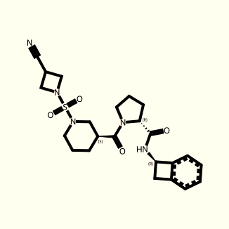 N#CC1CN(S(=O)(=O)N2CCC[C@H](C(=O)N3CCC[C@@H]3C(=O)N[C@@H]3Cc4ccccc43)C2)C1